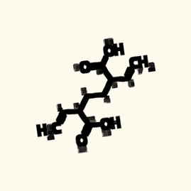 C=CC(CCC(C=C)C(=O)O)C(=O)O